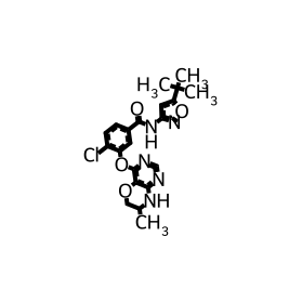 CC1COc2c(ncnc2Oc2cc(C(=O)Nc3cc(C(C)(C)C)on3)ccc2Cl)N1